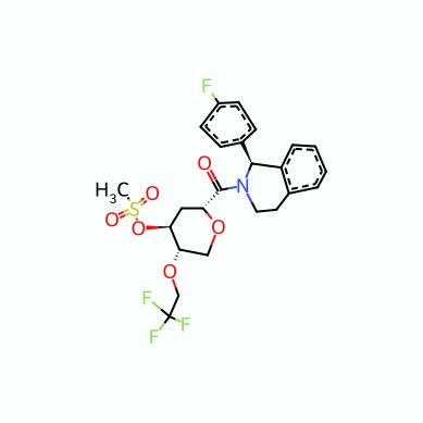 CS(=O)(=O)O[C@H]1C[C@H](C(=O)N2CCc3ccccc3[C@@H]2c2ccc(F)cc2)OC[C@@H]1OCC(F)(F)F